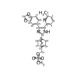 Cc1cccc(-c2[nH]c(C34CCC(COS(C)(=O)=O)(CC3)CC4)nc2-c2ccc3c(c2)OCO3)n1